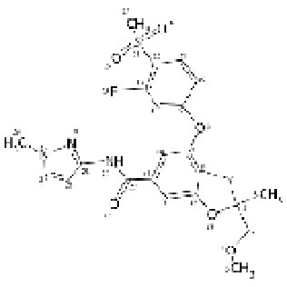 COCC1(C)Cc2c(Oc3ccc(S(C)(=O)=O)c(F)c3)cc(C(=O)Nc3ccn(C)n3)cc2O1